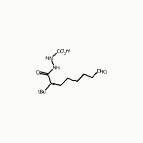 CC(C)(C)C(CCCCCC=O)C(=O)NNC(=O)O